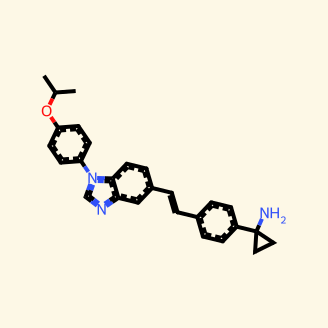 CC(C)Oc1ccc(-n2cnc3cc(C=Cc4ccc(C5(N)CC5)cc4)ccc32)cc1